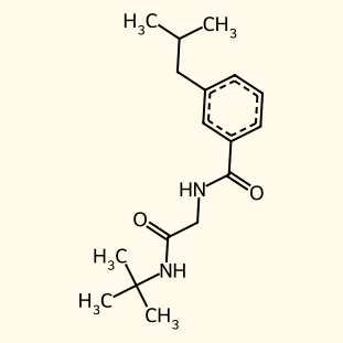 CC(C)Cc1cccc(C(=O)NCC(=O)NC(C)(C)C)c1